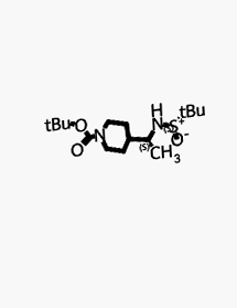 C[C@H](N[S@+]([O-])C(C)(C)C)C1CCN(C(=O)OC(C)(C)C)CC1